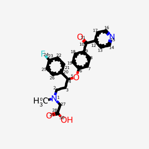 CN(CCC(Oc1ccc(C(=O)c2ccncc2)cc1)c1ccc(F)cc1)CC(=O)O